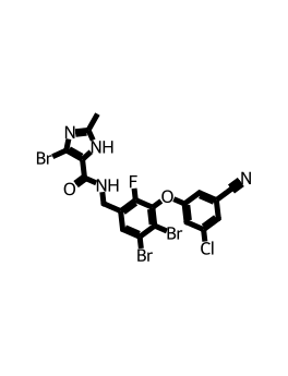 Cc1nc(Br)c(C(=O)NCc2cc(Br)c(Br)c(Oc3cc(Cl)cc(C#N)c3)c2F)[nH]1